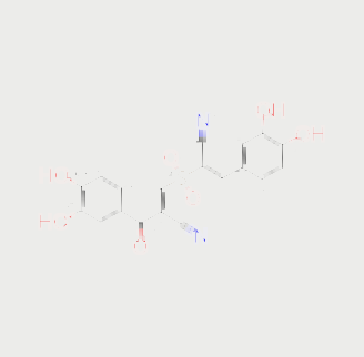 N#C/C(=C\S(=O)(=O)/C(C#N)=C/c1ccc(O)c(O)c1)C(=O)c1ccc(O)c(O)c1